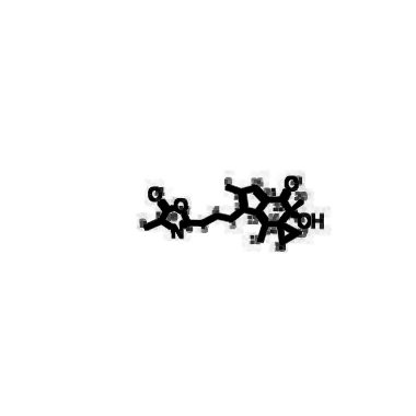 CC1=C(CCCC2=NC(C)C(=O)O2)C2=C(C)C3(CC3)[C@@](C)(O)C(=O)C2=C1